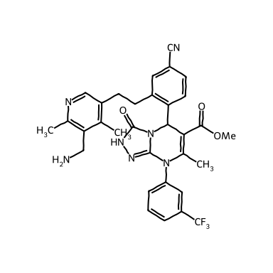 COC(=O)C1=C(C)N(c2cccc(C(F)(F)F)c2)c2n[nH]c(=O)n2C1c1ccc(C#N)cc1CCc1cnc(C)c(CN)c1C